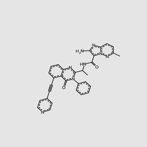 Cc1ccc2nc(N)c(C(=O)NC(C)c3nc4cccc(C#Cc5ccncc5)c4c(=O)n3-c3ccccc3)n2n1